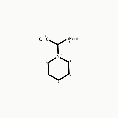 CCCCCC(C=O)N1CCCCC1